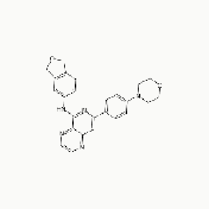 c1cnc2c(Nc3ccc4c(c3)COC4)nc(-c3ccc(N4CCOCC4)cc3)cc2n1